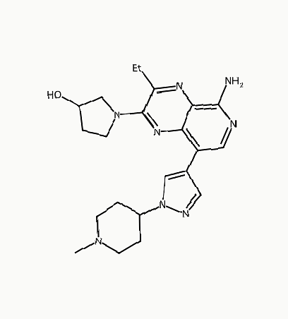 CCc1nc2c(N)ncc(-c3cnn(C4CCN(C)CC4)c3)c2nc1N1CCC(O)C1